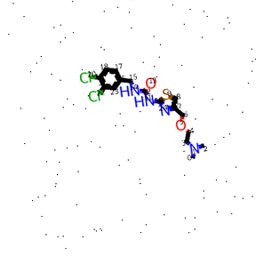 CN(C)CCOCc1csc(NC(=O)NCc2ccc(Cl)c(Cl)c2)n1